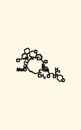 CO[C@H]1/C=C/C[C@H](C)CS(=O)(/C=N/C(=O)COC2(C)CCOCC2)=NC(=O)c2ccc3c(c2)N(C[C@@H]2CC[C@H]21)C[C@@]1(CCCc2cc(Cl)ccc21)CO3